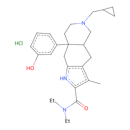 CCN(CC)C(=O)c1[nH]c2c(c1C)CC1CN(CC3CC3)CCC1(c1cccc(O)c1)C2.Cl